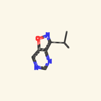 CC(C)c1noc2cncnc12